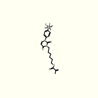 C=C(C)C(=O)OCCCCCCn1c(=S)ccn(-c2ccc(S(F)(F)(F)(F)F)cc2)c1=S